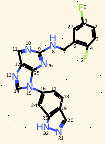 Fc1ccc(F)c(CNc2ncc3ncn(-c4ccc5cn[nH]c5c4)c3n2)c1